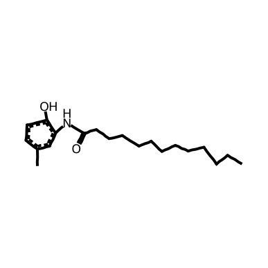 CCCCCCCCCCCCC(=O)Nc1cc(C)ccc1O